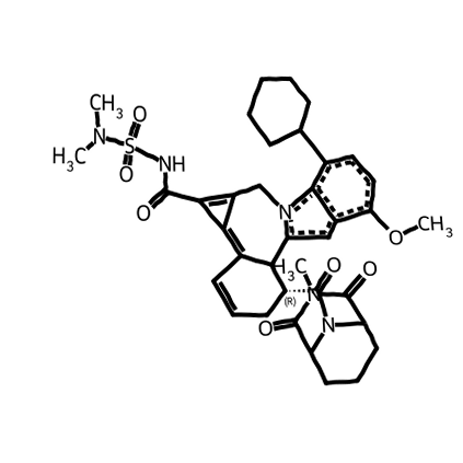 COc1ccc(C2CCCCC2)c2c1cc1n2CC2=C(C(=O)NS(=O)(=O)N(C)C)C2=C2C=CC[C@@H](C(=O)N3C4CCCC3C(=O)N(C)C4=O)C21